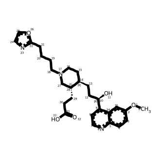 COc1ccc2nccc([C@H](O)CC[C@@H]3CCN(CCCCc4ncco4)C[C@H]3CCC(=O)O)c2c1